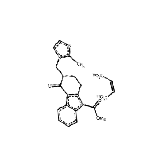 COC(=O)n1c2c(c3ccccc31)C(=O)C(Cn1ccnc1C)CC2.O=C(O)/C=C\C(=O)O